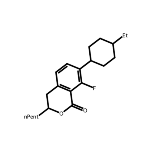 CCCCCC1Cc2ccc(C3CCC(CC)CC3)c(F)c2C(=O)O1